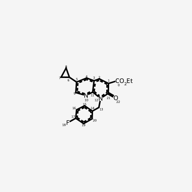 CCOC(=O)c1cc2cc(C3CC3)cnc2n(Cc2ccc(F)cc2)c1=O